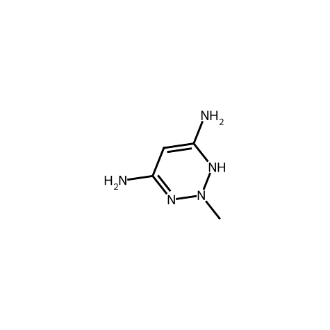 CN1N=C(N)C=C(N)N1